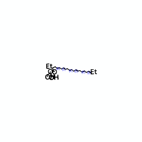 CC/C=C/C/C=C/C/C=C/C/C=C/C/C=C/C/C=C/CC(CC)C(=O)OC(CO)CO